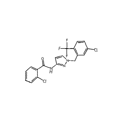 O=C(Nc1ccn(Cc2cc(Cl)ccc2C(F)(F)F)n1)c1ccccc1Cl